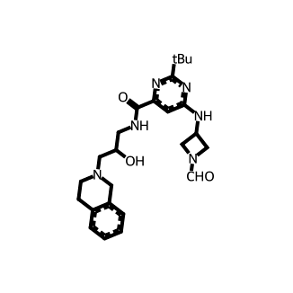 CC(C)(C)c1nc(NC2CN(C=O)C2)cc(C(=O)NCC(O)CN2CCc3ccccc3C2)n1